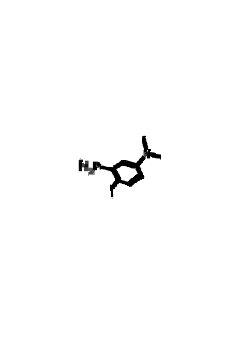 CN(C)c1ccc(I)c(P)c1